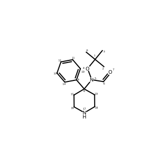 CC(C)(C)ON(C=O)C1(c2ccccc2)CCNCC1